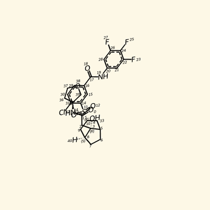 O=C(C[C@@]1(O)C2CC[C@H]1C[C@H](S(=O)(=O)c1cc(C(=O)Nc3cc(F)c(F)c(F)c3)ccc1Cl)C2)N[C@H]1CCOC1